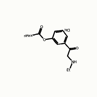 CCCCCCC(=O)Oc1cccc(C(=O)CNCC)c1.Cl